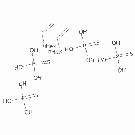 C=CCCCCCC.C=CCCCCCC.OP(O)(O)=S.OP(O)(O)=S.OP(O)(O)=S.OP(O)(O)=S